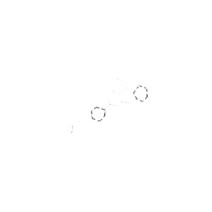 c1ccc(CCCC(OC2CCCCO2)c2ccc(OCC3CO3)cc2)cc1